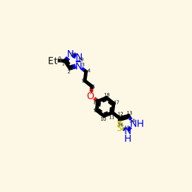 CCc1cn(CCCOc2ccc(C3=CNNS3)cc2)nn1